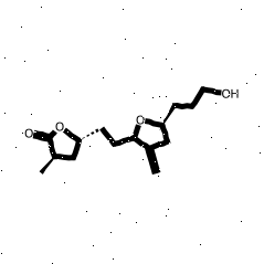 C=C1C[C@H](CCCO)OC1CC[C@@H]1C[C@@H](C)C(=O)O1